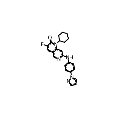 O=c1c(F)cc2cnc(Nc3ccc(-n4cccn4)cc3)cc2n1C1CCCCC1